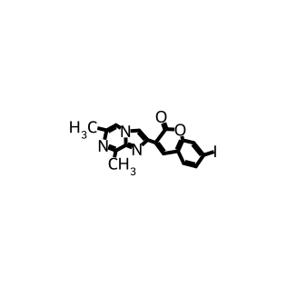 Cc1cn2cc(-c3cc4ccc(I)cc4oc3=O)nc2c(C)n1